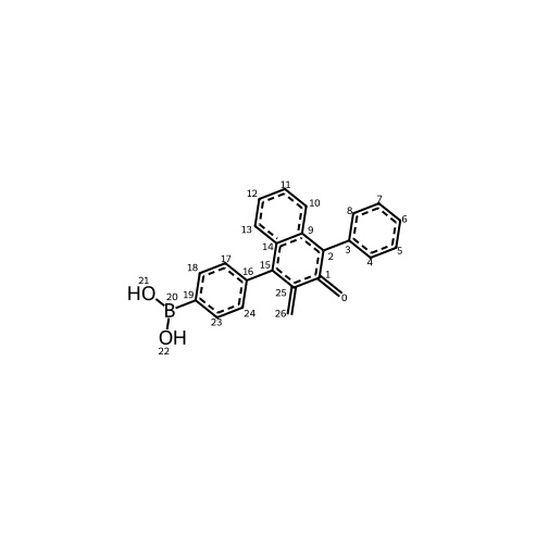 C=c1c(-c2ccccc2)c2ccccc2c(-c2ccc(B(O)O)cc2)c1=C